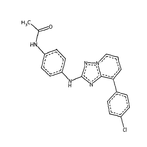 CC(=O)Nc1ccc(Nc2nc3c(-c4ccc(Cl)cc4)cccn3n2)cc1